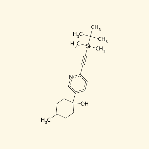 CC1CCC(O)(c2ccc(C#C[Si](C)(C)C(C)(C)C)nc2)CC1